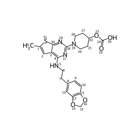 Cc1cc2c(NCCc3ccc4c(c3)OCO4)nc(N3CCC(OC(=O)O)CC3)nc2s1